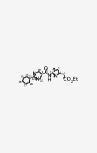 CCOC(=O)Cc1csc(NC(=O)c2cnc(-c3ccccc3)nc2)n1